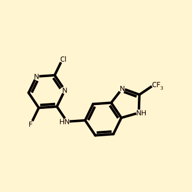 Fc1cnc(Cl)nc1Nc1ccc2[nH]c(C(F)(F)F)nc2c1